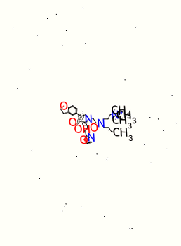 CCCCN(CCC[N+](C)(C)C)C(=O)CN1C[C@H](c2ccc3c(c2)CCO3)[C@@H](C(=O)O)[C@@H]1CCc1ncco1